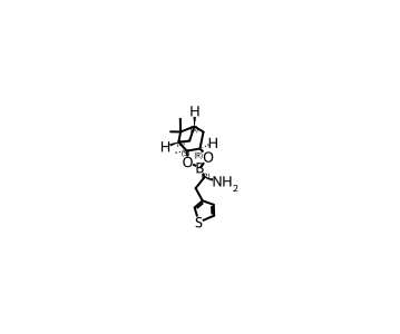 CC1(C)[C@@H]2C[C@H]3OB([C@@H](N)Cc4ccsc4)O[C@@]3(C)[C@H]1C2